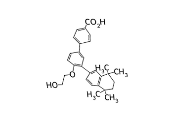 CC1(C)CCC(C)(C)c2cc(-c3cc(-c4ccc(C(=O)O)cc4)ccc3OCCO)ccc21